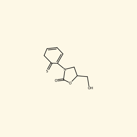 O=C1OC(CO)CN1C1=CC=CCC1=S